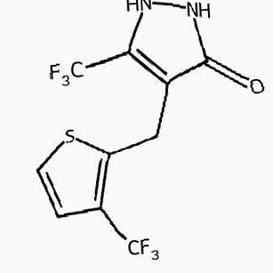 O=c1[nH][nH]c(C(F)(F)F)c1Cc1sccc1C(F)(F)F